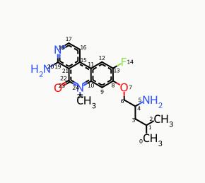 CC(C)CC(N)COc1cc2c(cc1F)c1ccnc(N)c1c(=O)n2C